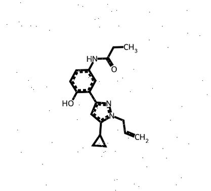 C=CCn1nc(-c2cc(NC(=O)CC)ccc2O)cc1C1CC1